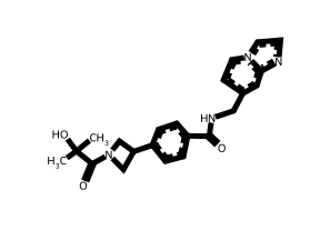 CC(C)(O)C(=O)N1CC(c2ccc(C(=O)NCc3ccn4ccnc4c3)cc2)C1